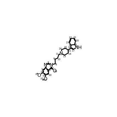 COc1cc2ncn(CCCCN3CCC(C4=CNC5C=CC=CC45)CC3)c(=O)c2cc1OC